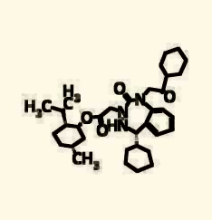 CC(C)[C@@H]1CC[C@@H](C)C[C@@H]1OC(=O)CN1N[C@@H](C2CCCCC2)c2ccccc2N(CC(=O)C2CCCCC2)C1=O